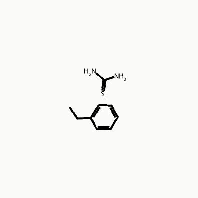 CCc1ccccc1.NC(N)=S